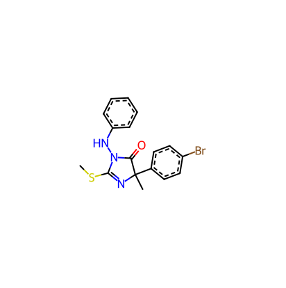 CSC1=NC(C)(c2ccc(Br)cc2)C(=O)N1Nc1ccccc1